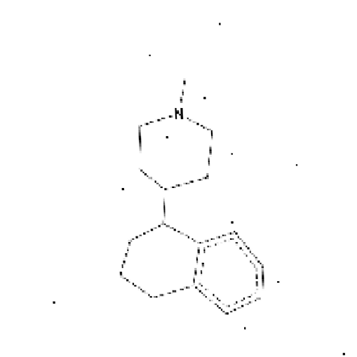 CN1CCC(C2CCCc3ccccc32)CC1